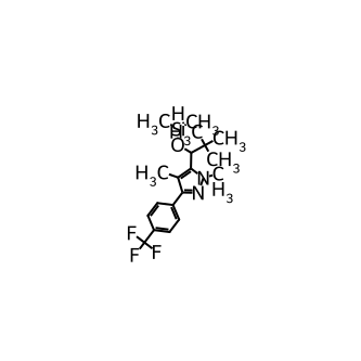 Cc1c(-c2ccc(C(F)(F)F)cc2)nn(C)c1C(O[SiH](C)C)C(C)(C)C